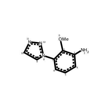 COc1c(N)cccc1-n1ccnn1